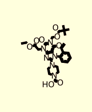 C=Cc1ccccc1-n1c(N2CCN(C(=O)O)CC2)nc2c1c(=O)n(COC(=O)C(C)(C)C)c(=O)n2CC(=O)OCC